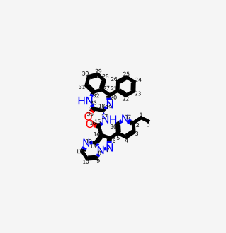 CCc1ccc(-c2nn3cccnc3c2C(=O)N[C@H]2N=C(c3ccccc3)c3ccccc3NC2=O)cn1